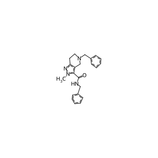 Cn1nc2c(c1C(=O)NCc1ccccc1)CN(Cc1ccccc1)CC2